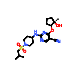 CC(C)CS(=O)(=O)N1CCC(Nc2ncc(C#N)c(O[C@H]3CCC[C@@]3(C)O)n2)CC1